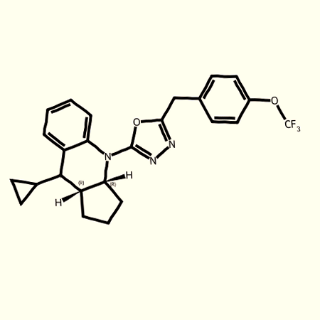 FC(F)(F)Oc1ccc(Cc2nnc(N3c4ccccc4[C](C4CC4)[C@H]4CCC[C@H]43)o2)cc1